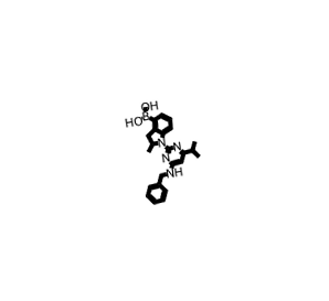 CC(C)c1cc(NCc2ccccc2)nc(N2c3cccc(B(O)O)c3CC2C)n1